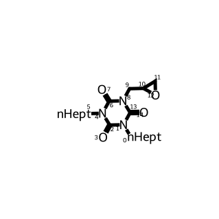 CCCCCCCn1c(=O)n(CCCCCCC)c(=O)n(CC2CO2)c1=O